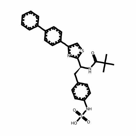 CC(C)(C)C(=O)N[C@@H](Cc1ccc(NS(=O)(=O)O)cc1)c1nc(-c2ccc(-c3ccccc3)cc2)cs1